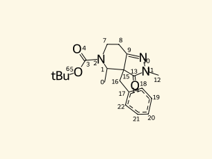 CC1N(C(=O)OC(C)(C)C)CCC2=NN(C)C(=O)C21Cc1ccccc1